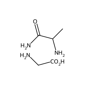 CC(N)C(N)=O.NCC(=O)O